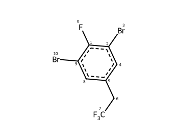 Fc1c(Br)cc(CC(F)(F)F)cc1Br